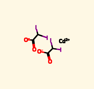 O=C([O-])C(I)I.O=C([O-])C(I)I.[Cd+2]